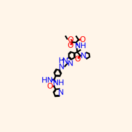 CCOC(=O)C(NCC(C)(C(=O)N1CCCC1)c1ccc2c(c1)nc(CNc1ccc(C(=N)NC(=O)c3cccnc3)cc1)n2C)C(C)=O